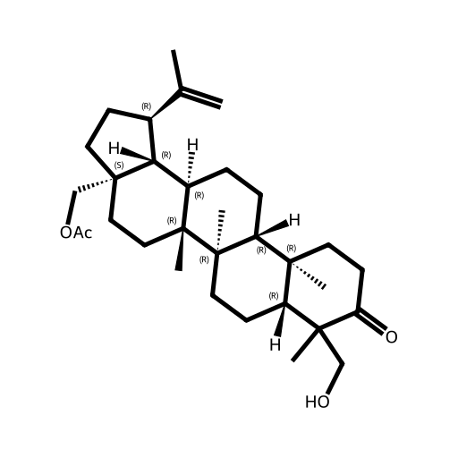 C=C(C)[C@@H]1CC[C@]2(COC(C)=O)CC[C@]3(C)[C@H](CC[C@@H]4[C@@]5(C)CCC(=O)C(C)(CO)[C@@H]5CC[C@]43C)[C@@H]12